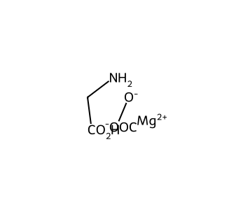 NCC(=O)O.O=C([O-])[O-].[Mg+2]